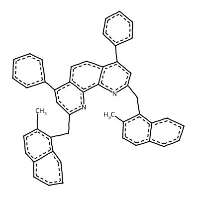 Cc1ccc2ccccc2c1Cc1cc(-c2ccccc2)c2ccc3c(-c4ccccc4)cc(Cc4c(C)ccc5ccccc45)nc3c2n1